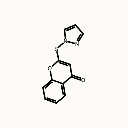 O=c1cc(Sn2cccn2)oc2ccccc12